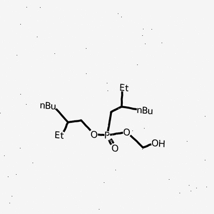 CCCCC(CC)COP(=O)(CC(CC)CCCC)OCO